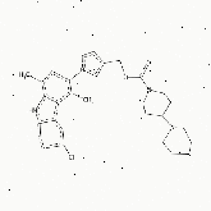 Cc1cc(-n2ccc(COC(=O)N3CCC(N4CCCCC4)CC3)c2)c(C)c2c1[nH]c1ccc(Cl)cc12